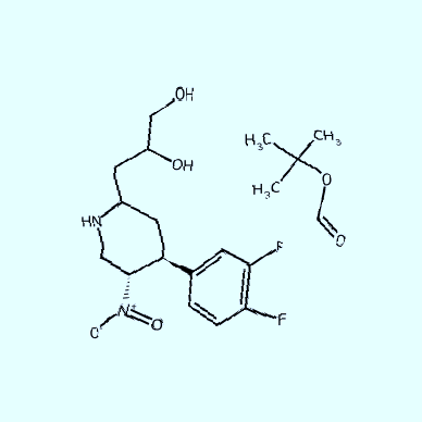 CC(C)(C)OC=O.O=[N+]([O-])[C@@H]1CNC(CC(O)CO)C[C@H]1c1ccc(F)c(F)c1